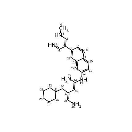 CN/C=C(\C=N)c1cnc2ccc(N/C(N)=C/C(=C\N)CC3CCCCC3)nc2c1